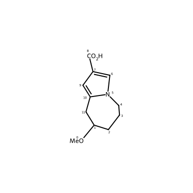 COC1CCCn2cc(C(=O)O)cc2C1